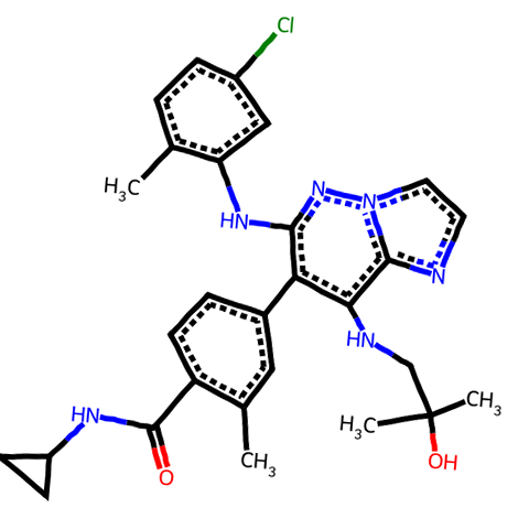 Cc1ccc(Cl)cc1Nc1nn2ccnc2c(NCC(C)(C)O)c1-c1ccc(C(=O)NC2CC2)c(C)c1